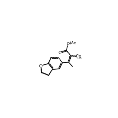 COC(=O)C(C#N)=C(C)c1ccc2c(c1)CCO2